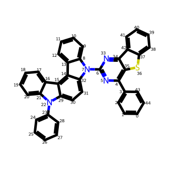 c1ccc(-c2nc(-n3c4ccccc4c4c5c6ccccc6n(-c6ccccc6)c5ccc43)nc3c2sc2ccccc23)cc1